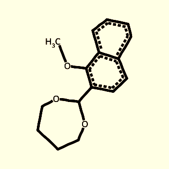 COc1c(C2OCCCCO2)ccc2ccccc12